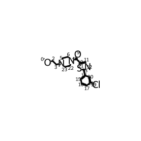 COCCN1CCN(C(=O)c2cnc(-c3cccc(Cl)c3)s2)CC1